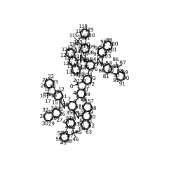 CC1(C)c2cc(-c3cc(N(c4ccc5c(c4)C(C)(C)c4ccccc4-5)c4ccc5ccccc5c4)cc(N(c4ccc5c(c4)C(C)(C)c4ccccc4-5)c4c5ccccc5cc5ccccc45)c3)ccc2-c2ccc(-c3cc(N(c4ccc5c(c4)C(C)(C)c4ccccc4-5)c4ccc5ccccc5c4)cc(N(c4ccc5c(c4)C(C)(C)c4ccccc4-5)c4c5ccccc5cc5ccccc45)c3)cc21